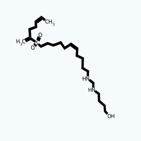 C=C(CC/C=C\C)S(=O)(=O)CCCCC/C=C\CCCCNCNCCCCO